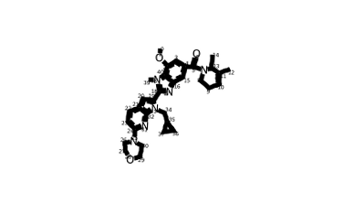 COc1cc(C(=O)N2CCC=C(C)C2C)cc2nc(-c3cc4ccc(N5CCOCC5)nc4n3CC3CC3)n(C)c12